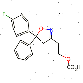 O=C(O)OCCC1=NOC(c2ccccc2)(c2ccc(F)cc2)C1